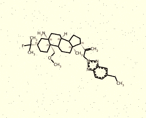 C=C(Cn1nc2ccc(CC)cc2n1)[C@H]1CCC2[C@@H]3CC[C@]4(N)C[C@@H](C(C)(C)F)CC[C@]4(COC)C3CC[C@@]21C